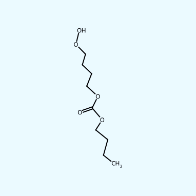 CCCCOC(=O)OCCCCOO